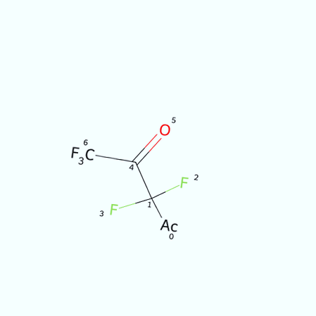 CC(=O)C(F)(F)C(=O)C(F)(F)F